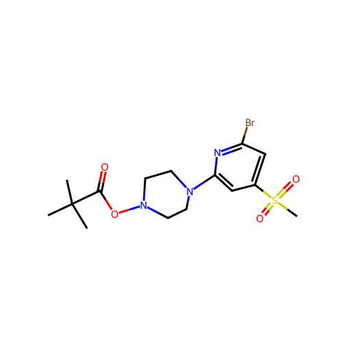 CC(C)(C)C(=O)ON1CCN(c2cc(S(C)(=O)=O)cc(Br)n2)CC1